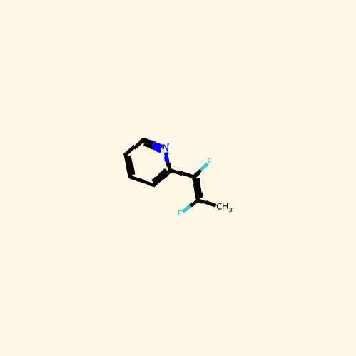 CC(F)=C(F)c1ccccn1